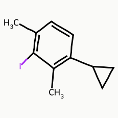 Cc1ccc(C2CC2)c(C)c1I